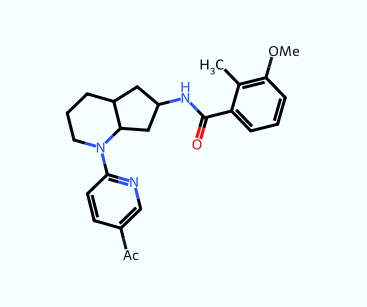 COc1cccc(C(=O)NC2CC3CCCN(c4ccc(C(C)=O)cn4)C3C2)c1C